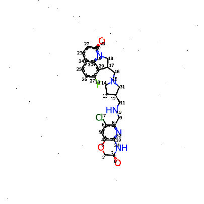 O=C1COc2cc(Cl)c(CNC[C@H]3CCN(CC4Cn5c(=O)ccc6ccc(F)c4c65)C3)nc2N1